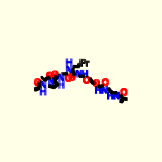 C=CC(=O)N[C@@H](C)C(=O)N1CCCC1C(=O)NCC(=O)N[C@@H](CCC(C)C)C(=O)NCCOCCOCC(=O)NCCCNC(=O)C(=C)C